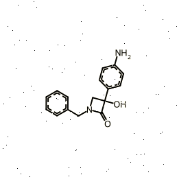 Nc1ccc(C2(O)CN(Cc3ccccc3)C2=O)cc1